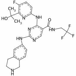 CC(C)(O)c1nc(Nc2nc(Nc3ccc4c(c3)CCNC4)ncc2C(=O)NCC(F)(F)F)ccc1F